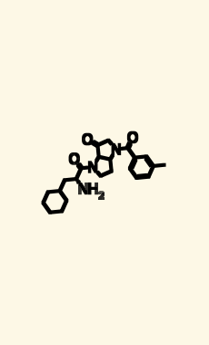 Cc1cccc(C(=O)N2CC(=O)C3C2CCN3C(=O)[C@@H](N)CC2CCCCC2)c1